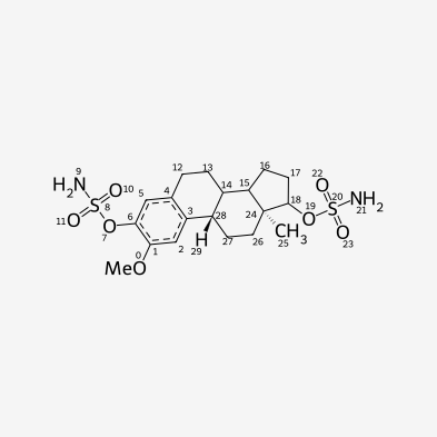 COc1cc2c(cc1OS(N)(=O)=O)CCC1C3CCC(OS(N)(=O)=O)[C@@]3(C)CC[C@H]21